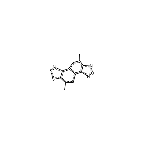 Cc1cc2c(cc(C)c3nsnc32)c2nonc12